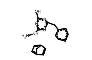 C1=CC2=CC=C1C2.NNc1nc(O)nc(Cc2ccccc2)n1